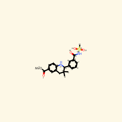 COC(=O)c1ccc2c(c1)CC(C)(C)C(c1cccc(C(=O)NS(C)(=O)=O)c1)N2